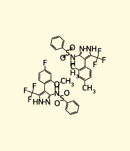 COc1cc(F)ccc1-c1c(NS(=O)(=O)c2ccccc2)n[nH]c1C(F)(F)F.Cc1ccc(-c2c(NS(=O)(=O)c3ccccc3)n[nH]c2C(F)(F)F)c(C)c1